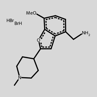 Br.Br.COc1ccc(CN)c2cc(C3CCN(C)CC3)oc12